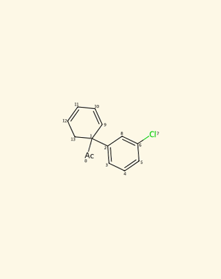 CC(=O)C1(c2cccc(Cl)c2)C=CC=CC1